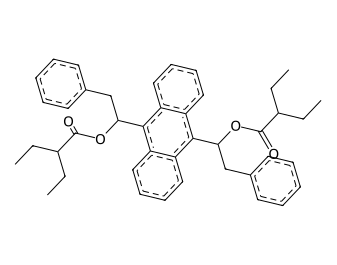 CCC(CC)C(=O)OC(Cc1ccccc1)c1c2ccccc2c(C(Cc2ccccc2)OC(=O)C(CC)CC)c2ccccc12